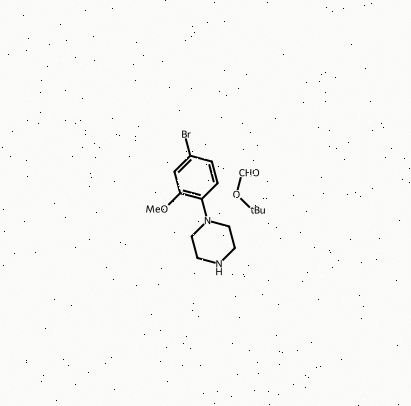 CC(C)(C)OC=O.COc1cc(Br)ccc1N1CCNCC1